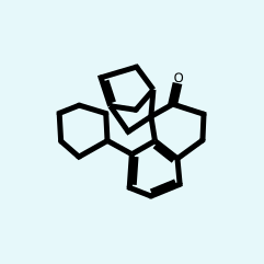 O=C1CCc2cccc(C3CCCCC3)c2C12CC1=CCC2C1